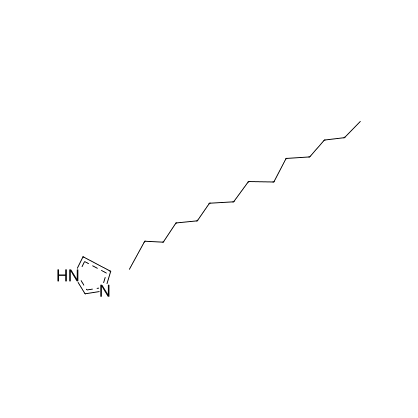 CCCCCCCCCCCCCC.c1c[nH]cn1